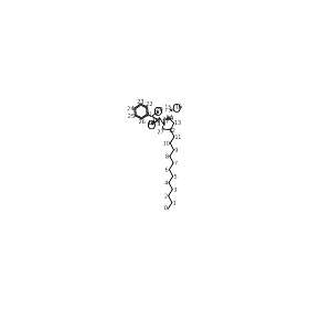 CCCCCCCCCCCCC1C[C@@H]([C]=O)N(S(=O)(=O)c2ccccc2)C1